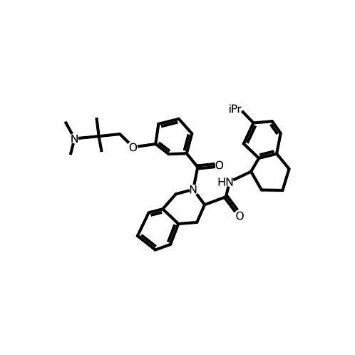 CC(C)c1ccc2c(c1)C(NC(=O)C1Cc3ccccc3CN1C(=O)c1cccc(OCC(C)(C)N(C)C)c1)CCC2